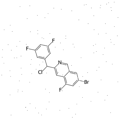 Fc1cc(F)cc(C(Cl)c2cc3c(F)cc(Br)cc3cn2)c1